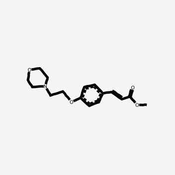 COC(=O)/C=C/c1ccc(OCCN2CCOCC2)cc1